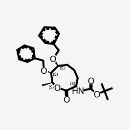 C[C@@H]1OC(=O)[C@@H](NC(=O)OC(C)(C)C)CCC[C@H](OCc2ccccc2)[C@H]1OCc1ccccc1